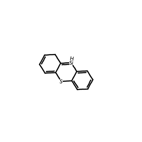 C1=CCC2=[SiH]c3ccccc3SC2=C1